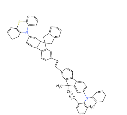 CC1=C(N(c2ccc3c(c2)C(C)(C)c2cc(/C=C/c4ccc5c(c4)C4(Cc6ccccc6C4)C4C=C(N6C7=C(C=CCC7)Sc7ccccc76)C=CC54)ccc2-3)c2ccccc2C)C=CCC1